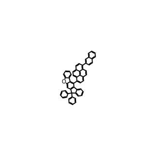 c1ccc(C2(c3ccccc3)c3ccccc3-c3c2cc2oc4ccccc4c2c3-c2ccc3ccc4c(-c5ccc6ccccc6c5)ccc5ccc2c3c54)cc1